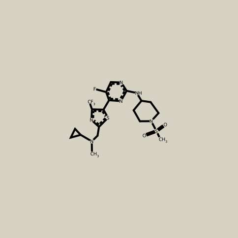 CN(Cc1nc(C(F)(F)F)c(-c2nc(NC3CCN(S(C)(=O)=O)CC3)ncc2F)s1)C1CC1